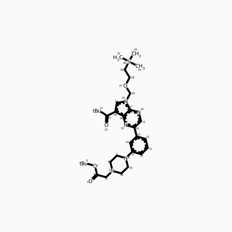 CC(C)(C)OC(=O)CN1CCN(c2cccc(-c3cnc4c(n3)c(C(=O)C(C)(C)C)cn4COCC[Si](C)(C)C)c2)CC1